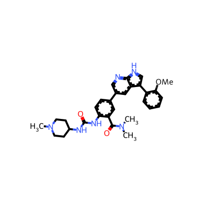 COc1ccccc1-c1c[nH]c2ncc(-c3ccc(NC(=O)NC4CCN(C)CC4)c(C(=O)N(C)C)c3)cc12